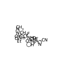 CCC(=O)N[C@@H](C(=O)N1CCN(C)CC1)[C@@H](C)c1ccc(NC(=O)[C@](C)(NC(=O)C(F)(F)c2cncc(C#N)c2)C2CCCCCC2)c(F)c1